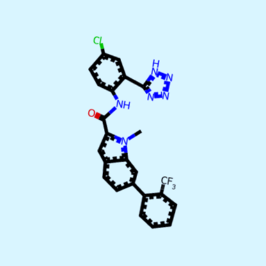 Cn1c(C(=O)Nc2ccc(Cl)cc2-c2nnn[nH]2)cc2ccc(-c3ccccc3C(F)(F)F)cc21